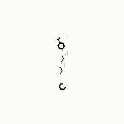 O=C(CCSSc1ccccn1)NCCCNc1ccc(C(=O)O)cc1